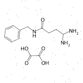 NC(N)CCC(=O)NCc1ccccc1.O=C(O)C(=O)O